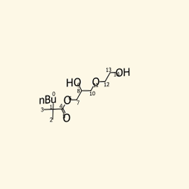 CCCCC(C)(C)C(=O)OCC(O)COCCO